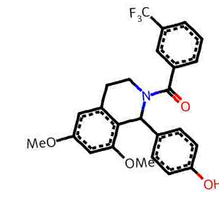 COc1cc2c(c(OC)c1)C(c1ccc(O)cc1)N(C(=O)c1cccc(C(F)(F)F)c1)CC2